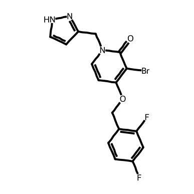 O=c1c(Br)c(OCc2ccc(F)cc2F)ccn1Cc1cc[nH]n1